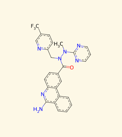 CN(c1ncccn1)N(Cc1ccc(C(F)(F)F)cn1)C(=O)c1ccc2nc(N)c3ccccc3c2c1